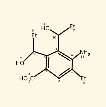 CCc1cc(C(=O)O)c(C(O)CC)c(C(O)CC)c1N